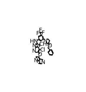 Cn1c(Nc2cc(N3CC[C@@H](OCc4ccccc4)C3)cc(C(F)(F)F)c2)nc2ncc(Oc3cnn4ccncc34)c(Cl)c21